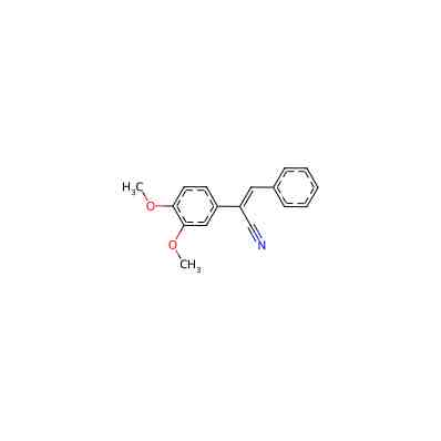 COc1ccc(/C(C#N)=C/c2ccccc2)cc1OC